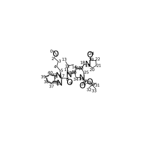 COCCCCn1c(C(=O)N(CC(C)C)[C@H]2C[C@@H](CN3CCCC3=O)CN(C(=O)OC(C)(C)C)C2)nc2ccccc21